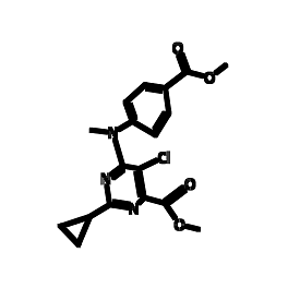 COC(=O)c1ccc(N(C)c2nc(C3CC3)nc(C(=O)OC)c2Cl)cc1